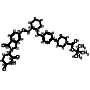 CC(C)(C)OC(=O)N1CCN(c2ccc(CN3CCCC[C@@H]3COc3ccc4c(c3)CN(C3CCC(=O)NC3=O)C4=O)cn2)CC1